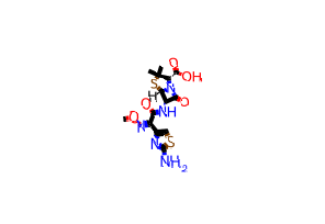 CO/N=C(\C(=O)N[C@H]1C(=O)N2[C@@H]1SC(C)(C)[C@@H]2C(=O)O)c1csc(N)n1